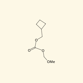 COCOC(=O)OCC1CCC1